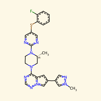 C[C@@H]1CN(c2ncnn3cc(-c4cnn(C)c4)cc23)CCN1c1ncc(Sc2ccccc2F)cn1